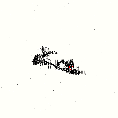 COc1ccc2c3c1O[C@H]1C(OC(=O)N4CCC(C(=O)NCCCC[C@H](NC(=O)CCCN(C)C(=O)Oc5ccc6c7c5O[C@H]5C(=O)CC[C@H]8[C@@H]9C(NCC%10CC%10)C9(C6)C[C@]758)C(=O)NCCNC(=O)Cc5ccc(OC(=O)c6ccc(NC(=N)N)cc6)cc5)CC4CNC(=O)[C@@H](CCCNC(=N)N)NC(=O)CNC(C)=O)=CC[C@H]4[C@@H]5C(C)C5(C2)C[C@]314